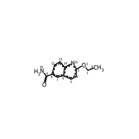 CCOc1ccc2cc(C(N)=O)ccc2n1